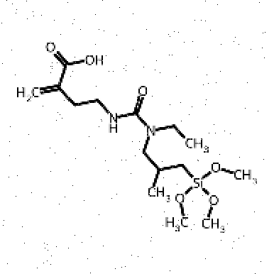 C=C(CCNC(=O)N(CC)CC(C)C[Si](OC)(OC)OC)C(=O)O